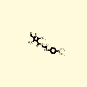 Cc1[nH]c(C=O)c(C)c1C(=O)NCC(=O)Nc1ccc(N(C)C)cc1